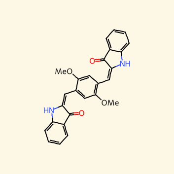 COc1cc(C=C2Nc3ccccc3C2=O)c(OC)cc1C=C1Nc2ccccc2C1=O